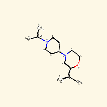 CC(C)C1CN(C2CCN(C(C)C)CC2)CCO1